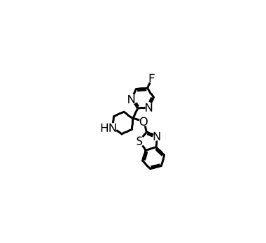 Fc1cnc(C2(Oc3nc4ccccc4s3)CCNCC2)nc1